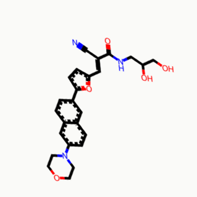 N#C/C(=C\c1ccc(-c2ccc3cc(N4CCOCC4)ccc3c2)o1)C(=O)NCC(O)CO